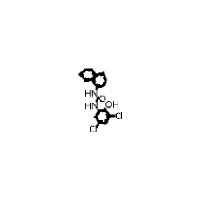 O=C(Nc1cc(Cl)cc(Cl)c1O)Nc1cccc2ccccc12